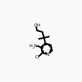 CC(C)(CCO)c1ccnc(Cl)c1N